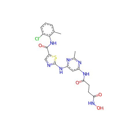 Cc1nc(NC(=O)CCC(=O)NO)cc(Nc2ncc(C(=O)Nc3c(C)cccc3Cl)s2)n1